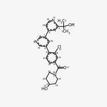 CC(C)(O)c1cc(-c2cncc(-c3ccc(C(=O)N4CCC(O)CC4)cc3Cl)c2)ccn1